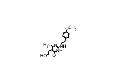 COc1ccc(CCNc2nc(C)c(CCO)c(=O)[nH]2)cc1